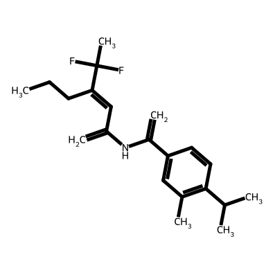 C=C(/C=C(\CCC)C(C)(F)F)NC(=C)c1ccc(C(C)C)c(C)c1